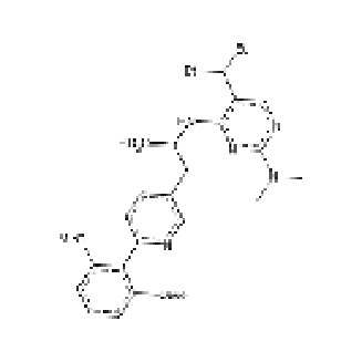 CCC(CC)c1cnc(N(C)C)nc1N[C@@H](Cc1ccc(-c2c(OC)cccc2OC)nc1)C(=O)O